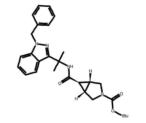 CC(C)(C)OC(=O)N1C[C@@H]2[C@H](C1)[C@H]2C(=O)NC(C)(C)c1nn(Cc2ccccc2)c2ccccc12